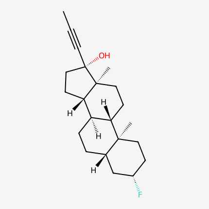 CC#C[C@]1(O)CC[C@H]2[C@@H]3CC[C@H]4C[C@@H](F)CC[C@]4(C)[C@H]3CC[C@@]21C